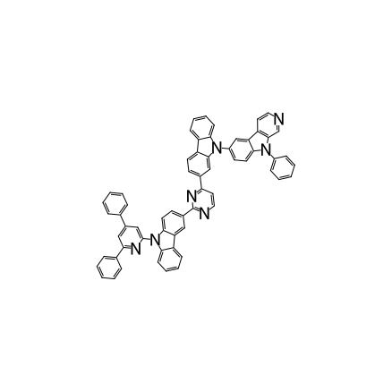 c1ccc(-c2cc(-c3ccccc3)nc(-n3c4ccccc4c4cc(-c5nccc(-c6ccc7c8ccccc8n(-c8ccc9c(c8)c8ccncc8n9-c8ccccc8)c7c6)n5)ccc43)c2)cc1